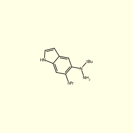 CCCc1cc2[nH]ccc2cc1N(N)C(C)(C)C